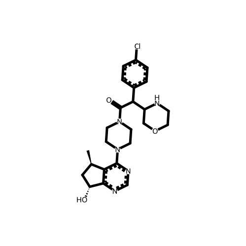 C[C@@H]1C[C@@H](O)c2ncnc(N3CCN(C(=O)C(c4ccc(Cl)cc4)C4COCCN4)CC3)c21